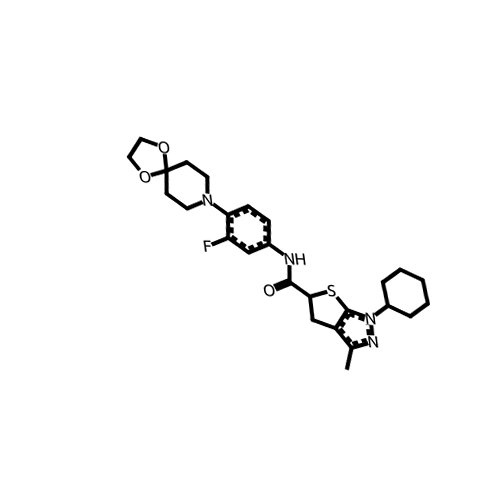 Cc1nn(C2CCCCC2)c2c1CC(C(=O)Nc1ccc(N3CCC4(CC3)OCCO4)c(F)c1)S2